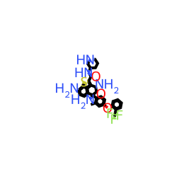 Cc1cc(Oc2ccccc2C(F)(F)F)ccc1C1(N)C(=O)C(N)c2c(C(=O)NC3CCCNC3)sc3c(N)ccc1c23